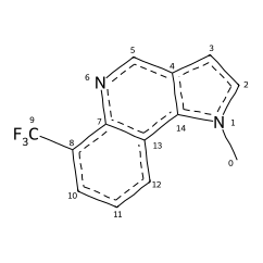 Cn1ccc2cnc3c(C(F)(F)F)cccc3c21